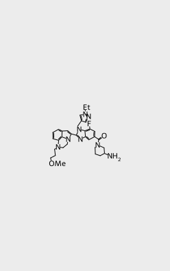 CCn1cc(Cn2c(-c3cc4cccc5c4n3CCN5CCCOC)nc3cc(C(=O)N4CCCC(N)C4)cc(F)c32)cn1